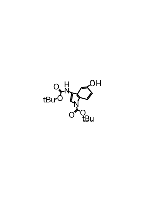 CC(C)(C)OC(=O)Nc1cn(C(=O)OC(C)(C)C)c2ccc(O)cc12